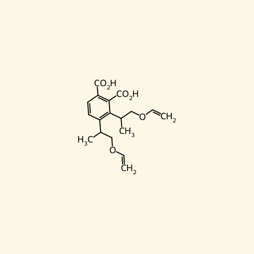 C=COCC(C)c1ccc(C(=O)O)c(C(=O)O)c1C(C)COC=C